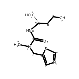 CN(Cc1cncs1)C(=O)N[C@@H](CCO)C(=O)O